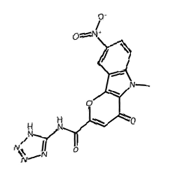 Cn1c2ccc([N+](=O)[O-])cc2c2oc(C(=O)Nc3nnn[nH]3)cc(=O)c21